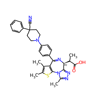 Cc1sc2c(c1C)C(c1ccc(N3CCC(C#N)(c4ccccc4)CC3)cc1)=N[C@@H](C(C)C(=O)O)c1nnc(C)n1-2